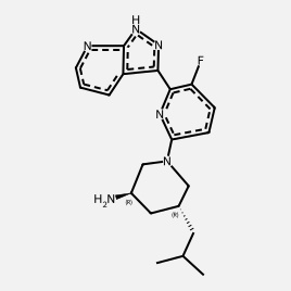 CC(C)C[C@@H]1C[C@@H](N)CN(c2ccc(F)c(-c3n[nH]c4ncccc34)n2)C1